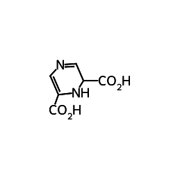 O=C(O)C1=CN=CC(C(=O)O)N1